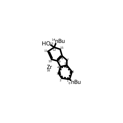 CCCCc1ccc2c(c1)CC1=C2C=CC(O)(CCCC)C1.[Zr]